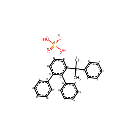 CC(C)(c1ccccc1)c1cccc(-c2ccccc2)c1-c1ccccc1.O=P(O)(O)O